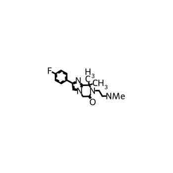 CNCCN1C(=O)Cn2cc(-c3ccc(F)cc3)nc2C1(C)C